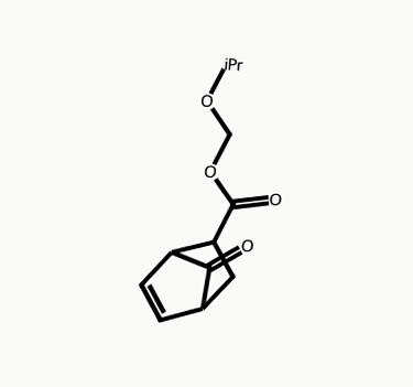 CC(C)OCOC(=O)C1CC2C=CC1C2=O